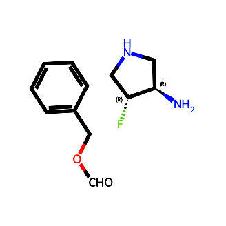 N[C@@H]1CNC[C@H]1F.O=COCc1ccccc1